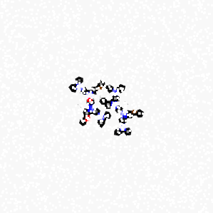 N#Cc1cc(-n2c3ccc(N(c4ccccc4)c4ccc(-c5cccc6c5sc5cc7c(cc56)c5cc(-n6c8ccccc8c8ccccc86)ccc5n7-c5cc(C#N)c(-n6c7ccc(-n8c9ccccc9c9ccccc98)cc7c7c8oc9ccccc9c8ccc76)cc5C#N)cc4)cc3c3c4ccccc4ccc32)c(C#N)cc1-n1c2ccc(-n3c4ccccc4c4ccccc43)cc2c2cc3c(cc21)sc1ccccc13